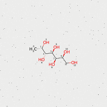 C[C@H](O)[C@@H](O)[C@@H](O)[C@H](O)[C@@H](O)CO